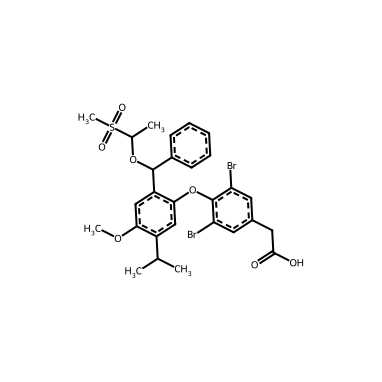 COc1cc(C(OC(C)S(C)(=O)=O)c2ccccc2)c(Oc2c(Br)cc(CC(=O)O)cc2Br)cc1C(C)C